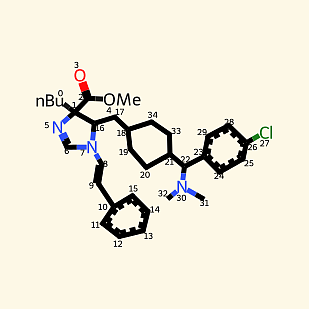 CCCCC1(C(=O)OC)N=CN(C=Cc2ccccc2)C1CC1CCC(C(c2ccc(Cl)cc2)N(C)C)CC1